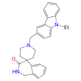 CCn1c2ccccc2c2cc(CN3CCC4(CC3)C(=O)NCc3ccccc34)ccc21